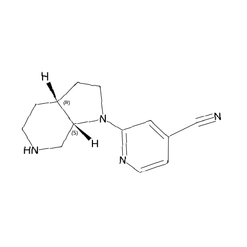 N#Cc1ccnc(N2CC[C@H]3CCNC[C@H]32)c1